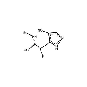 CCN[C@H](C(F)c1[nH]ncc1C#N)[C@H](C)CC